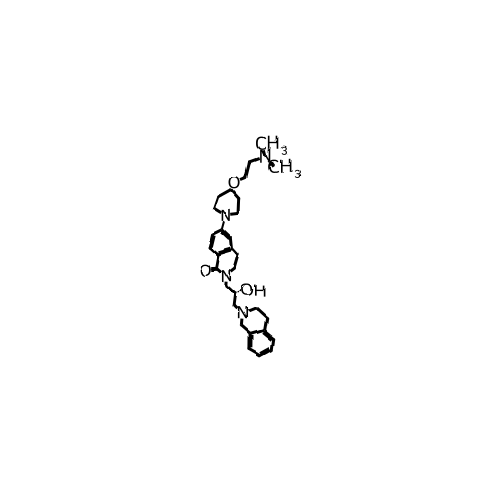 CN(C)CCOC1CCN(c2ccc3c(c2)CCN(C[C@H](O)CN2CCc4ccccc4C2)C3=O)CC1